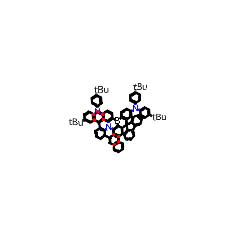 CC(C)(C)c1ccc(N(c2ccc(C(C)(C)C)cc2)c2ccc3c(c2)N(c2c(-c4ccccc4)cccc2-c2ccccc2)c2cc(-c4ccccc4)cc4c2B3c2ccc(N(c3ccc(C(C)(C)C)cc3)c3ccc(C(C)(C)C)cc3)cc2C42c3ccccc3-c3ccccc32)cc1